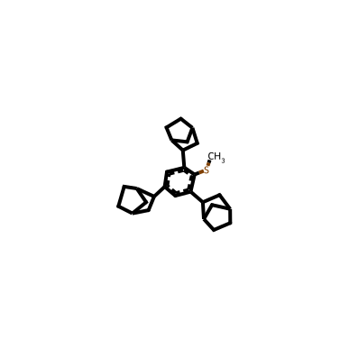 CSc1c(C2CC3CCC2C3)cc(C2CC3CCC2C3)cc1C1CC2CCC1C2